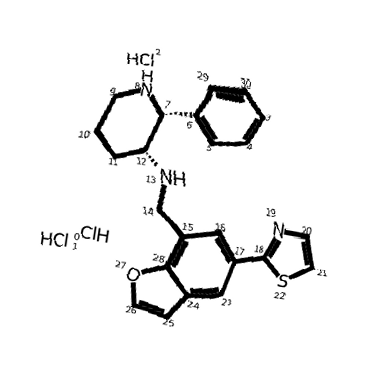 Cl.Cl.Cl.c1ccc([C@H]2NCCC[C@H]2NCc2cc(-c3nccs3)cc3ccoc23)cc1